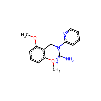 COc1cccc(OC)c1CN(C(=N)N)c1ccccn1